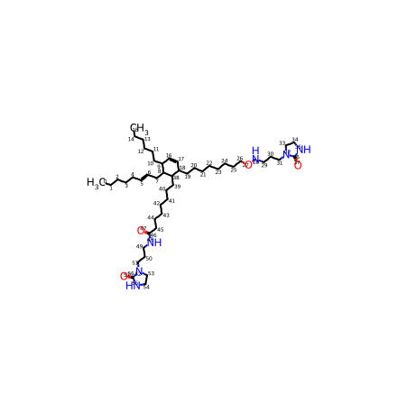 CCCCCC=CCC1C(CCCCCC)C=CC(CCCCCCCCONCCCN2CCNC2=O)C1CCCCCCCC(=O)NCCCN1CCNC1=O